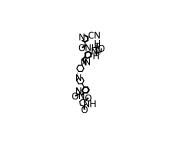 Cn1c(=O)n(C2CCC(=O)NC2=O)c2cccc(C3CCN(C[C@H]4CC[C@H](n5cc6cc(NC(=O)c7cncc(C#N)c7)c(N7C[C@H]8C[C@@H]7CO8)cc6n5)CC4)CC3)c21